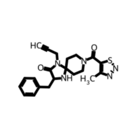 C#CCN1C(=O)C(Cc2ccccc2)NC12CCN(C(=O)c1snnc1C)CC2